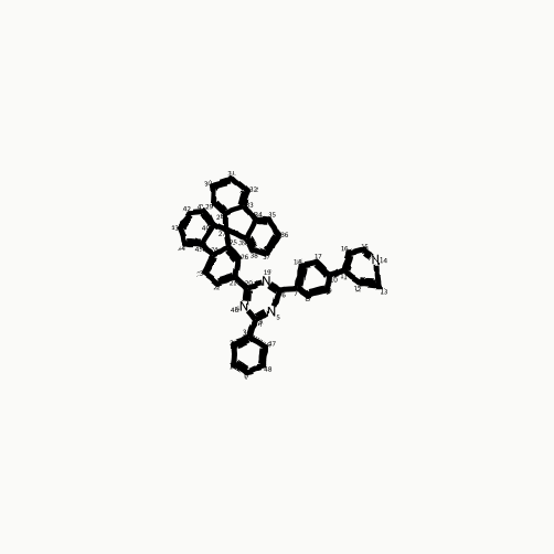 c1ccc(-c2nc(-c3ccc(-c4ccncc4)cc3)nc(-c3ccc4c(c3)C3(c5ccccc5-c5ccccc53)c3ccccc3-4)n2)cc1